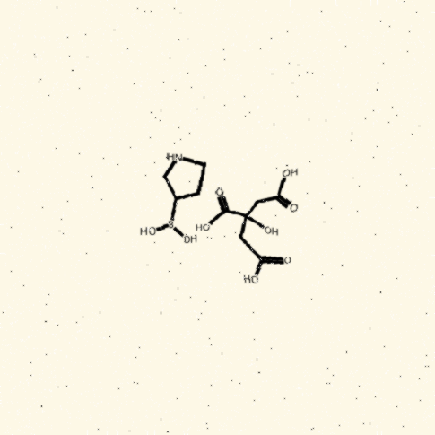 O=C(O)CC(O)(CC(=O)O)C(=O)O.OB(O)C1CCNC1